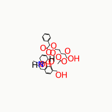 CC(=O)O[C@@H](CC(=O)O[C@H](C(=O)OC1=CC[C@@]2(O)[C@H]3Cc4ccc(CO)c5c4[C@@]2(CCN3C)[C@H]1O5)c1ccccc1)C(=O)CO